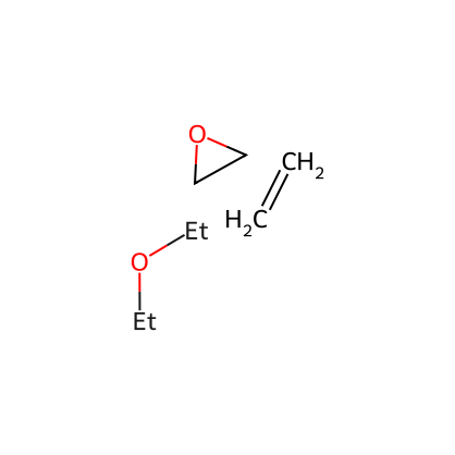 C1CO1.C=C.CCOCC